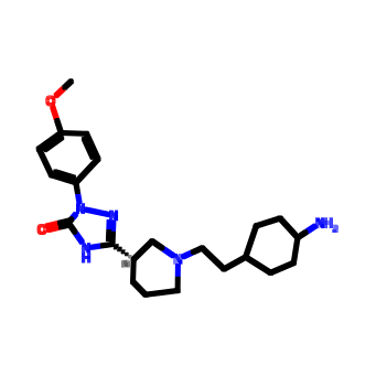 COc1ccc(-n2nc([C@H]3CCCN(CCC4CCC(N)CC4)C3)[nH]c2=O)cc1